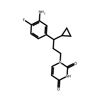 Nc1cc(C(CCn2ccc(=O)[nH]c2=O)C2CC2)ccc1F